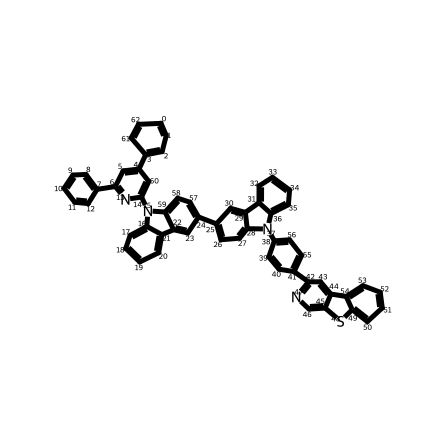 c1ccc(-c2cc(-c3ccccc3)nc(-n3c4ccccc4c4cc(-c5ccc6c(c5)c5ccccc5n6-c5ccc(-c6cc7c(cn6)sc6ccccc67)cc5)ccc43)c2)cc1